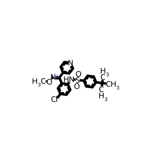 CO/N=C(/c1ccncc1)c1cc(Cl)ccc1NS(=O)(=O)c1ccc(C(C)(C)C)cc1